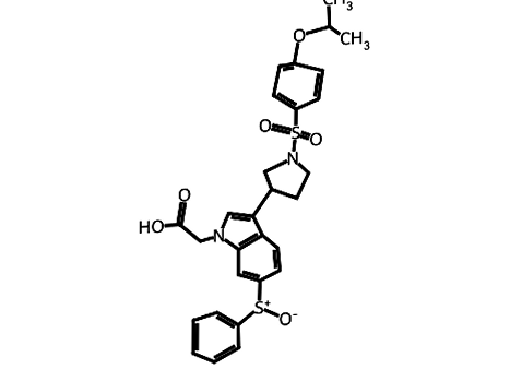 CC(C)Oc1ccc(S(=O)(=O)N2CCC(c3cn(CC(=O)O)c4cc([S+]([O-])c5ccccc5)ccc34)C2)cc1